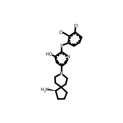 N[C@@H]1CCCC12CCN(c1cnc(Sc3cccc(Cl)c3Cl)c(O)c1)CC2